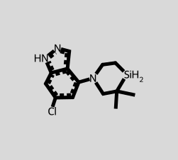 CC1(C)CN(c2cc(Cl)cc3[nH]ncc23)CC[SiH2]1